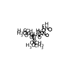 CC(C)(C)C(=O)OCOP(=O)(CCNC(=O)c1cn(C2CCCC2)c2cc(NC3CCCCC3)c(F)cc2c1=O)OCOC(=O)C(C)(C)C